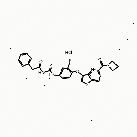 Cl.O=C(Cc1ccccc1)NC(=S)Nc1ccc(Oc2csc3cnc(C(=O)N4CCC4)nc23)c(F)c1